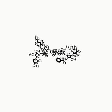 CO[C@@H]1[C@H](OP(=O)([O-])OC[C@H]2O[C@@H](n3ccc(=O)[nH]c3=O)[C@H](O)[C@@H]2O)[C@@H](COP(=O)(O)OP(=O)(O)OP(=O)(O)OC[C@H]2O[C@@H](n3c[n+](C)c4c(=O)[nH]c(N)nc43)[C@H](O)[C@@H]2CNC(=O)c2ccccc2)O[C@H]1n1cnc2c(N)ncnc21